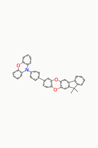 CC1(C)c2ccccc2-c2cc3c(cc21)Oc1ccc(-c2ccc(N4c5ccccc5Oc5ccccc54)cc2)cc1O3